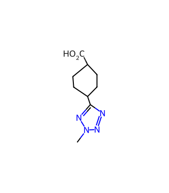 Cn1nnc(C2CCC(C(=O)O)CC2)n1